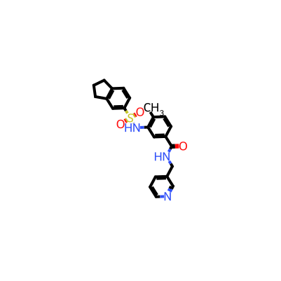 Cc1ccc(C(=O)NCc2cccnc2)cc1NS(=O)(=O)c1ccc2c(c1)CCC2